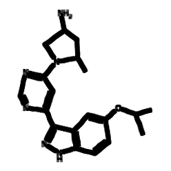 CC(C)Oc1ccc2[nH]nc(-c3cc(N4CC(N)CC4C)ncn3)c2c1